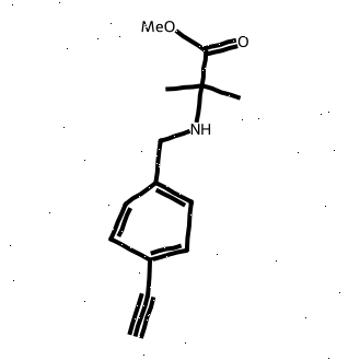 C#Cc1ccc(CNC(C)(C)C(=O)OC)cc1